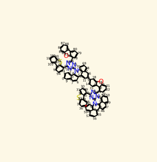 c1ccc2c3c(ccc2c1)-c1cc(-c2ccc4c(c2)oc2cccc(-c5nc(-c6cccc7sc8ccccc8c67)nc(N6c7c(ccc8ccccc78)-c7cccc8cccc6c78)n5)c24)cc2cccc(c12)N3c1nc(-c2cccc3c2oc2ccccc23)nc(-c2cccc3c2sc2ccccc23)n1